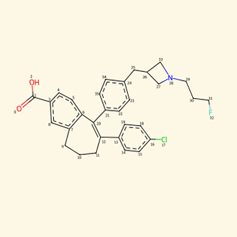 O=C(O)c1ccc2c(c1)CCCC(c1ccc(Cl)cc1)=C2c1ccc(CC2CN(CCCF)C2)cc1